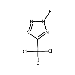 Fn1nnc(C(Cl)(Cl)Cl)n1